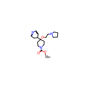 CC(C)(C)OC(=O)N1CCC(OCCN2CCCC2)(C2C=CN=CC2)CC1